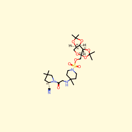 CC1(C)C[C@@H](C#N)N(C(=O)CNC2(C)CCN(S(=O)(=O)OC[C@@]34OC[C@H]5OC(C)(C)O[C@H]5[C@@H]3OC(C)(C)O4)CC2)C1